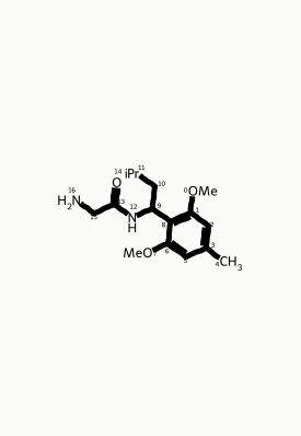 COc1cc(C)cc(OC)c1C(CC(C)C)NC(=O)CN